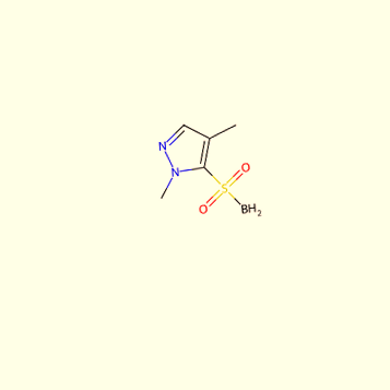 BS(=O)(=O)c1c(C)cnn1C